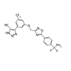 N#Cc1[nH]nnc1-c1cc(OCc2noc(-c3ccc(C(F)(F)P)cc3)n2)cc(C(F)(F)F)c1